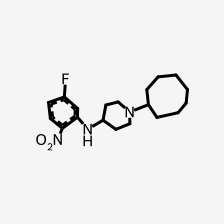 O=[N+]([O-])c1ccc(F)cc1NC1CCN(C2CCCCCCC2)CC1